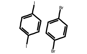 Brc1ccc(Br)cc1.Ic1ccc(I)cc1